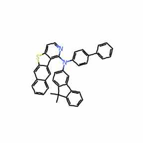 CC1(C)c2ccccc2-c2cc(N(c3ccc(-c4ccccc4)cc3)c3nccc4sc5cc6ccccc6cc5c34)ccc21